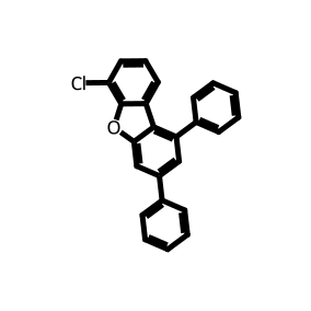 Clc1cccc2c1oc1cc(-c3ccccc3)cc(-c3ccccc3)c12